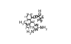 Cn1ccc2c3c(N)nc(N)nc3cc(-c3ccccc3Cl)c21.O=C(O)C(F)(F)F